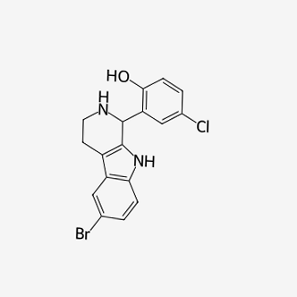 Oc1ccc(Cl)cc1C1NCCc2c1[nH]c1ccc(Br)cc21